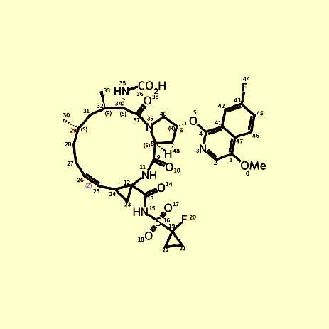 COc1cnc(O[C@@H]2C[C@H]3C(=O)NC4(C(=O)NS(=O)(=O)C5(F)CC5)CC4/C=C\CC[C@H](C)C[C@@H](C)[C@H](NC(=O)O)C(=O)N3C2)c2cc(F)ccc12